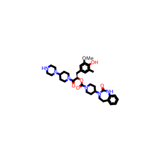 COc1cc(C[C@@H](OC(=O)N2CCC(N3CCc4ccccc4NC3=O)CC2)C(=O)N2CCC(N3CCNCC3)CC2)cc(C)c1O